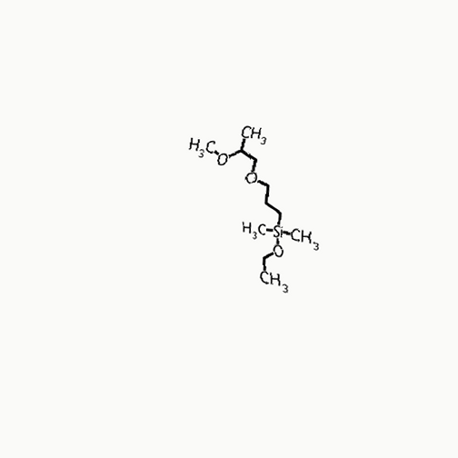 CCO[Si](C)(C)CCCOCC(C)OC